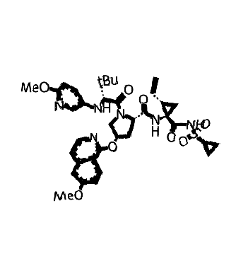 C=C[C@@H]1C[C@]1(NC(=O)[C@@H]1C[C@@H](Oc2nccc3cc(OC)ccc23)CN1C(=O)[C@H](Nc1ccc(OC)nc1)C(C)(C)C)C(=O)NS(=O)(=O)C1CC1